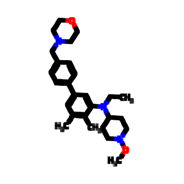 CCN(c1cc(-c2ccc(CN3CCOCC3)cc2)cc(C)c1C)C1CCN(OC)CC1